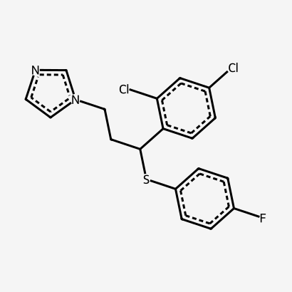 Fc1ccc(SC(CCn2ccnc2)c2ccc(Cl)cc2Cl)cc1